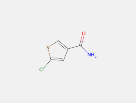 NC(=O)c1csc(Cl)c1